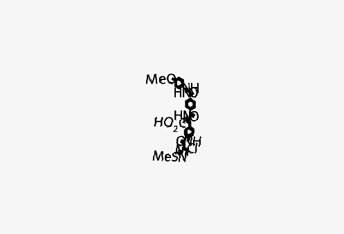 COc1ccc(NNC(=O)[C@H]2CC[C@H](C(=O)N[C@@H](Cc3ccc(NC(=O)c4nc(SC)ncc4Cl)cc3)C(=O)O)CC2)cc1